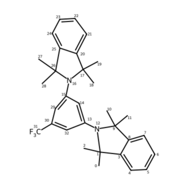 CC1(C)c2ccccc2C(C)(C)N1c1cc(N2C(C)(C)c3ccccc3C2(C)C)cc(C(F)(F)F)c1